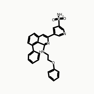 NS(=O)(=O)c1cncc(-c2cc3cccc(-c4ccccc4)c3c(NCCOc3ccccc3)n2)c1